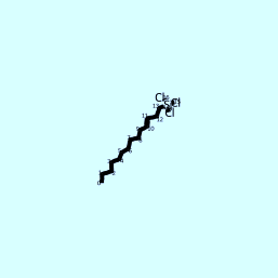 CCCCCCCCCCC=CCC[Si](Cl)(Cl)Cl